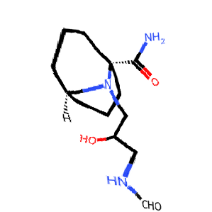 NC(=O)[C@]12C[CH]C[C@H](CC1)N2CC(O)CNC=O